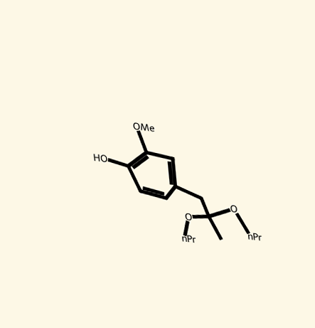 CCCOC(C)(Cc1ccc(O)c(OC)c1)OCCC